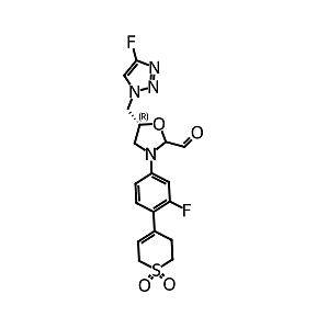 O=CC1O[C@@H](Cn2cc(F)nn2)CN1c1ccc(C2=CCS(=O)(=O)CC2)c(F)c1